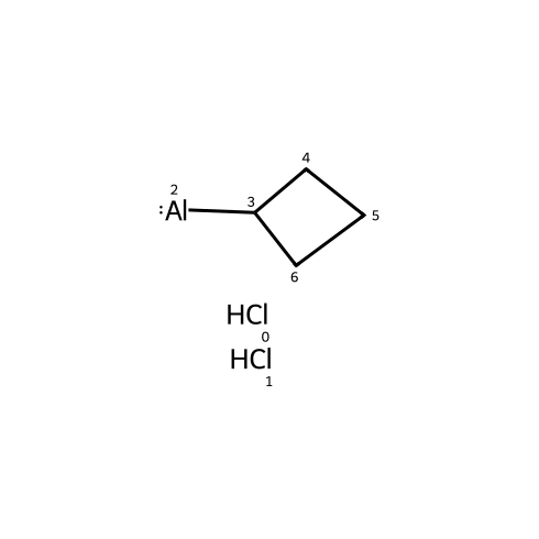 Cl.Cl.[Al][CH]1CCC1